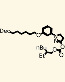 CCCCCCCCCCCCCCCCOc1cccc(N2CCC(OC(=O)OCC(CC)CCCC)=N2)c1